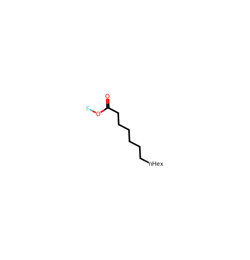 CCCCCCCCCCCCC(=O)OF